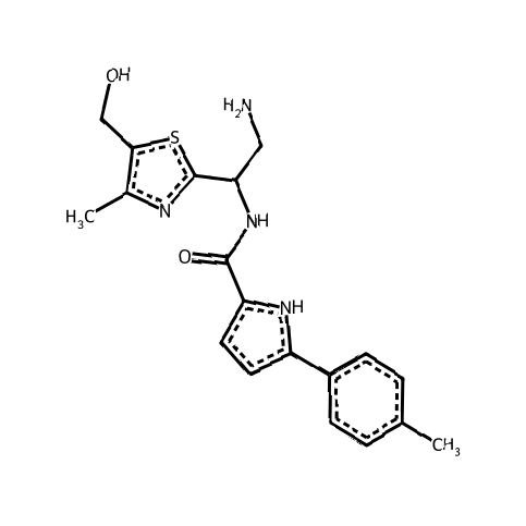 Cc1ccc(-c2ccc(C(=O)NC(CN)c3nc(C)c(CO)s3)[nH]2)cc1